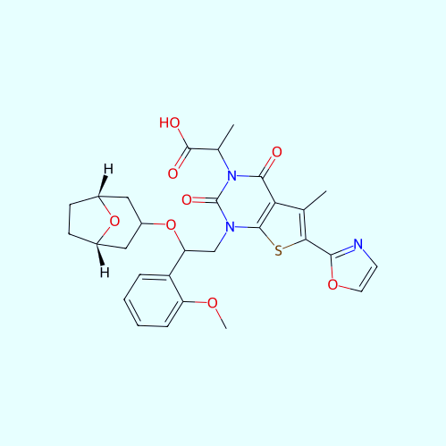 COc1ccccc1C(Cn1c(=O)n(C(C)C(=O)O)c(=O)c2c(C)c(-c3ncco3)sc21)OC1C[C@H]2CC[C@@H](C1)O2